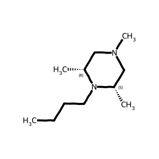 CCCCN1[C@H](C)CN(C)C[C@@H]1C